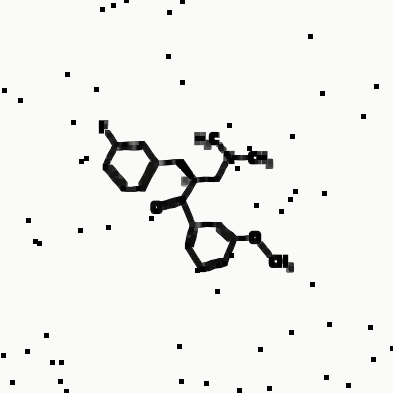 COc1cccc(C(=O)[C@@H](Cc2cccc(F)c2)CN(C)C)c1